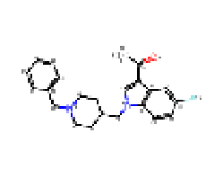 O=C(c1cn(CC2CCN(Cc3ccccc3)CC2)c2ccc(F)cc12)C(Cl)(Cl)Cl